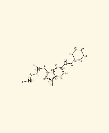 CNCCN(C)Cc1n[nH]c2ccc(OCC3CCCCC3)cc12